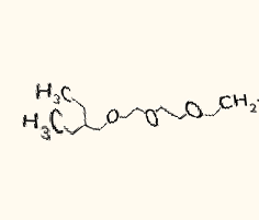 [CH2]COCCOCCOCC(CC)CC